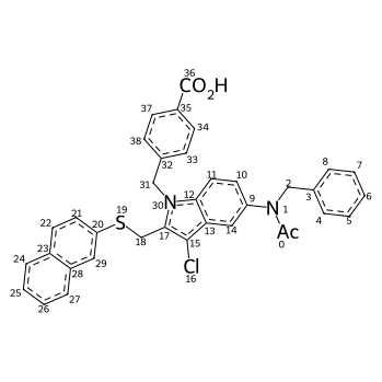 CC(=O)N(Cc1ccccc1)c1ccc2c(c1)c(Cl)c(CSc1ccc3ccccc3c1)n2Cc1ccc(C(=O)O)cc1